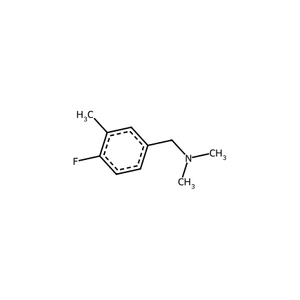 Cc1cc(CN(C)C)ccc1F